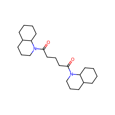 O=C(CCCC(=O)N1CCCC2CCCCC21)N1CCCC2CCCCC21